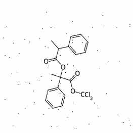 CC(C(=O)OC(C)(C(=O)OC(Cl)(Cl)Cl)c1ccccc1)c1ccccc1